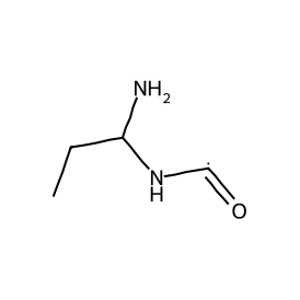 CCC(N)N[C]=O